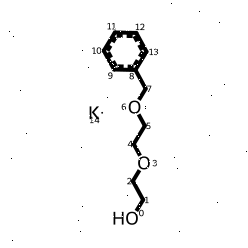 OCCOCCOCc1ccccc1.[K]